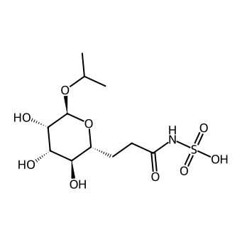 CC(C)O[C@H]1O[C@H](CCC(=O)NS(=O)(=O)O)[C@@H](O)[C@H](O)[C@@H]1O